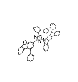 c1ccc(-c2nc(-c3cc(-c4ccccc4)c4c(c3)oc3ccccc34)nc(-n3c4ccccc4c4cc5c(cc43)C(c3ccccc3)(c3ccccc3)c3ccccc3-5)n2)cc1